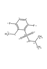 CCc1c(F)ccc(F)c1S(=O)(=O)OC(C)C